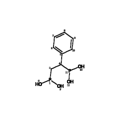 OP(O)CC(c1ccccc1)P(O)O